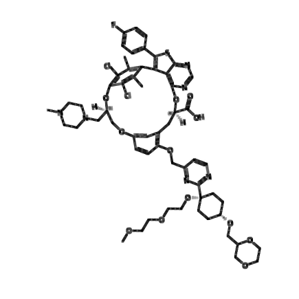 COCCOCCO[C@]1(c2nccc(COc3ccc4cc3C[C@H](C(=O)O)Oc3ncnc5sc(-c6ccc(F)cc6)c(c35)-c3c(C)c(Cl)c(c(Cl)c3C)O[C@H](CN3CCN(C)CC3)CO4)n2)CC[C@H](OCC2COCCO2)CC1